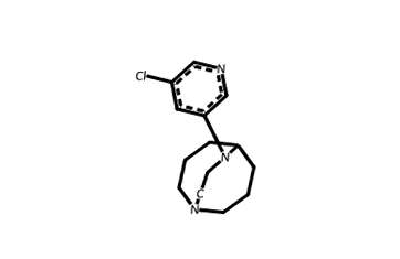 Clc1cncc(N2CCN3CCCC2CCC3)c1